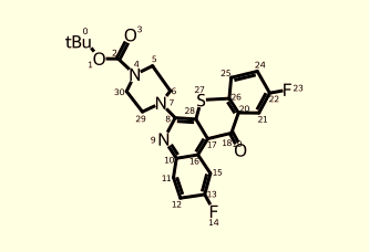 CC(C)(C)OC(=O)N1CCN(c2nc3ccc(F)cc3c3c(=O)c4cc(F)ccc4sc23)CC1